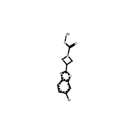 CC(C)(C)OC(=O)N1CC(c2nc3ccc(Br)cc3o2)C1